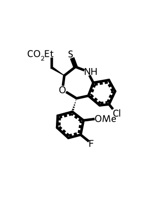 CCOC(=O)C[C@@H]1O[C@@H](c2cccc(F)c2OC)c2cc(Cl)ccc2NC1=S